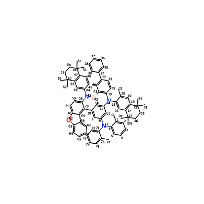 Cc1ccccc1N(c1cc2c3c(c1)N(c1cc4c(cc1C)C(C)(C)CCC4(C)C)c1ccc(-c4ccccc4)cc1B3N(c1ccc3c(c1)C(C)(C)CCC3(C)C)c1ccc3oc4ccccc4c3c1-2)c1ccccc1C